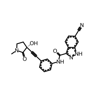 CN1CC[C@@](O)(C#Cc2cccc(NC(=O)c3n[nH]c4cc(C#N)ccc34)c2)C1=O